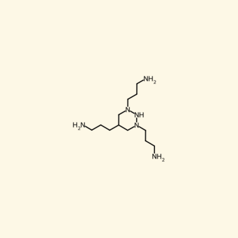 NCCCC1CN(CCCN)NN(CCCN)C1